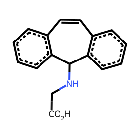 O=C(O)CNC1c2ccccc2C=Cc2ccccc21